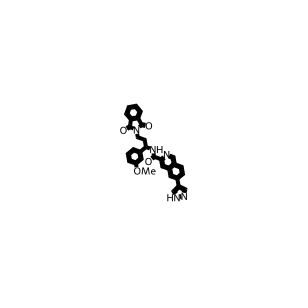 COc1cccc(C(CCN2C(=O)c3ccccc3C2=O)NC(=O)c2cc3cc(-c4cn[nH]c4)ccc3cn2)c1